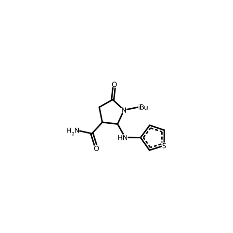 CCC(C)N1C(=O)CC(C(N)=O)C1Nc1ccsc1